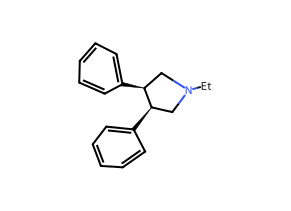 CCN1C[C@H](c2ccccc2)[C@H](c2ccccc2)C1